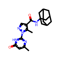 Cc1cc(=O)[nH]c(-n2ncc(C(=O)NC34CC5CC(CC(C5)C3)C4)c2C)n1